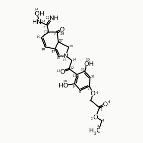 CCOC(=O)COc1cc(O)c(C(=O)CN2C=C3C=CC(C(=N)NO)C(=O)C3C2)c(O)c1